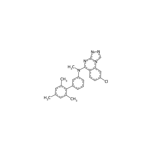 Cc1cc(C)c(-c2cccc(N(C)c3nc4nncn4c4cc(Cl)ccc34)c2)c(C)c1